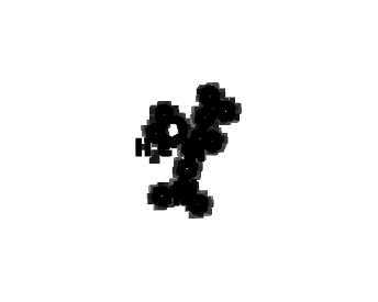 C=C1/C=C(c2cc(-c3ccc(-c4cc(-c5ccccc5)nc(-c5ccccc5)n4)cc3)nc3c2cc(-c2ccc4c5ccccc5c5ccccc5c4c2)c2ccccc23)\C=C/Cc2ccccc2-c2ccccc21